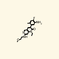 CCn1c(=O)c(-c2cc(N)c(F)cc2C)cc2cnc(NCCOC)cc21